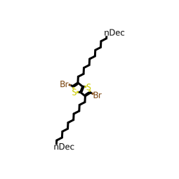 CCCCCCCCCCCCCCCCCCCCc1c(Br)sc2c(CCCCCCCCCCCCCCCCCCCC)c(Br)sc12